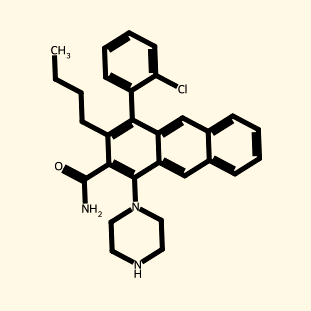 CCCCc1c(C(N)=O)c(N2CCNCC2)c2cc3ccccc3cc2c1-c1ccccc1Cl